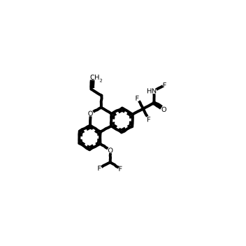 C=CCC1Oc2cccc(OC(F)F)c2-c2ccc(C(F)(F)C(=O)NF)cc21